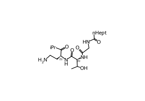 CCCCCCCC(=O)NCC(=O)N[C@H](C(=O)N[C@@H](CCN)C(=O)C(C)C)C(C)O